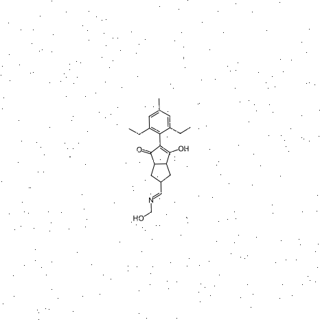 CCc1cc(C)cc(CC)c1C1=C(O)C2CC(/C=N/CO)CC2C1=O